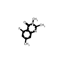 Cc1cc(F)c2c(=O)n(C)c(C)nc2c1